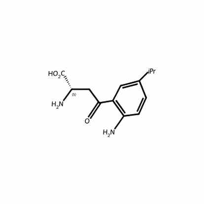 CC(C)c1ccc(N)c(C(=O)C[C@H](N)C(=O)O)c1